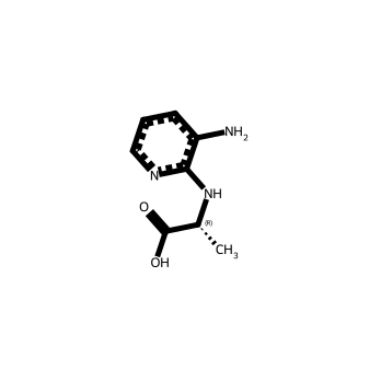 C[C@@H](Nc1ncccc1N)C(=O)O